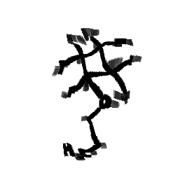 CCCOC1(F)C(F)(F)C(F)(F)C1(F)F